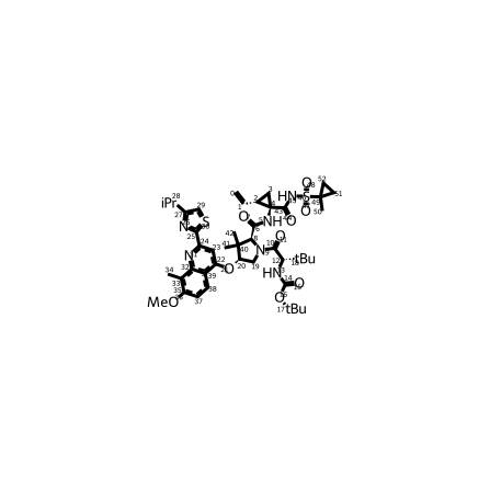 C=C[C@@H]1C[C@]1(NC(=O)[C@H]1N(C(=O)[C@@H](NC(=O)OC(C)(C)C)C(C)(C)C)C[C@H](Oc2cc(-c3nc(C(C)C)cs3)nc3c(C)c(OC)ccc23)C1(C)C)C(=O)NS(=O)(=O)C1(C)CC1